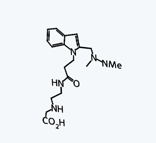 CNN(C)Cc1cc2ccccc2n1CCC(=O)NCCNCC(=O)O